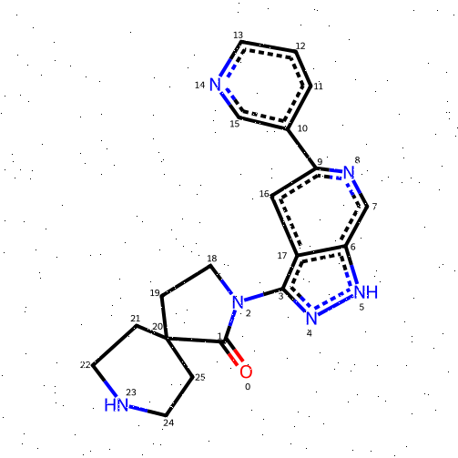 O=C1N(c2n[nH]c3cnc(-c4cccnc4)cc23)CCC12CCNCC2